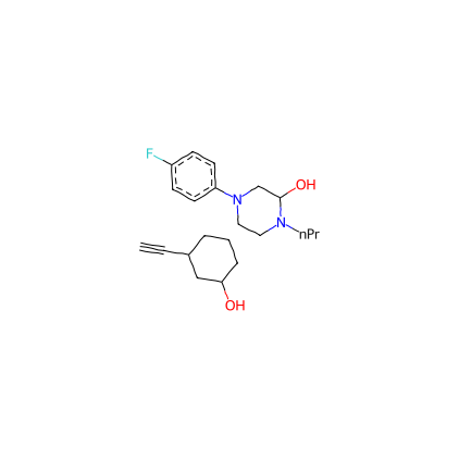 C#CC1CCCC(O)C1.CCCN1CCN(c2ccc(F)cc2)CC1O